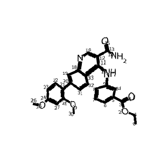 CCOC(=O)c1cccc(Nc2c(C(N)=O)cnc3cc(-c4ccc(OC)cc4OC)ccc23)c1